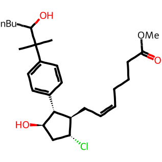 CCCCC(O)C(C)(C)c1ccc([C@@H]2[C@@H](C/C=C\CCCC(=O)OC)[C@H](Cl)C[C@H]2O)cc1